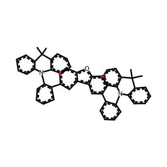 CC1(C)c2ccccc2N(c2ccccc2-c2ccc3oc4ccc(-c5ccccc5N5c6ccccc6C(C)(C)c6ccccc65)cc4c3c2)c2ccccc21